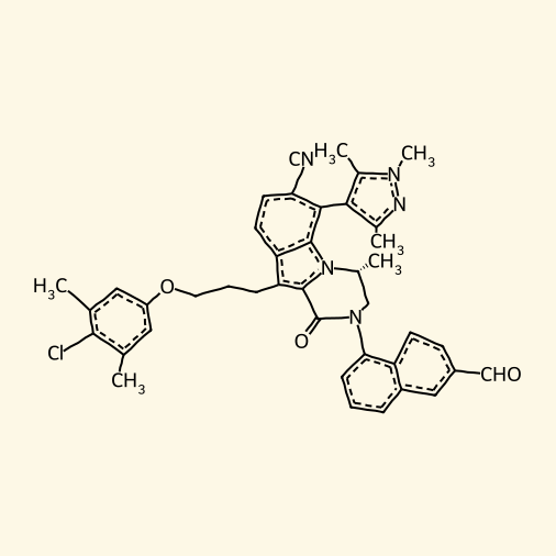 Cc1cc(OCCCc2c3n(c4c(-c5c(C)nn(C)c5C)c(C#N)ccc24)[C@H](C)CN(c2cccc4cc(C=O)ccc24)C3=O)cc(C)c1Cl